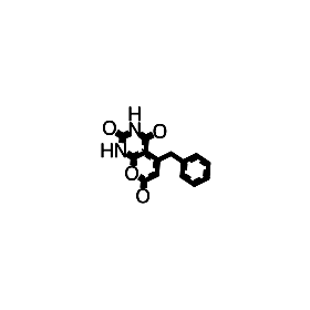 O=c1[nH]c(=O)c2c(Cc3ccccc3)cc(=O)oc2[nH]1